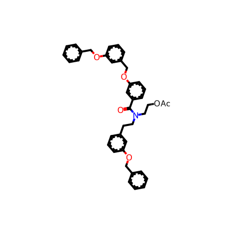 CC(=O)OCCN(CCc1cccc(OCc2ccccc2)c1)C(=O)c1cccc(OCc2cccc(OCc3ccccc3)c2)c1